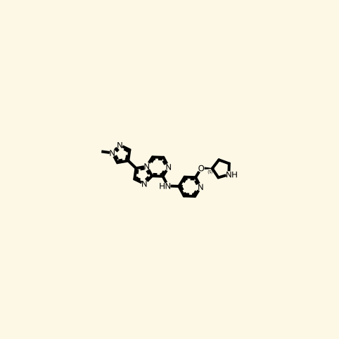 Cn1cc(-c2cnc3c(Nc4ccnc(O[C@H]5CCNC5)c4)nccn23)cn1